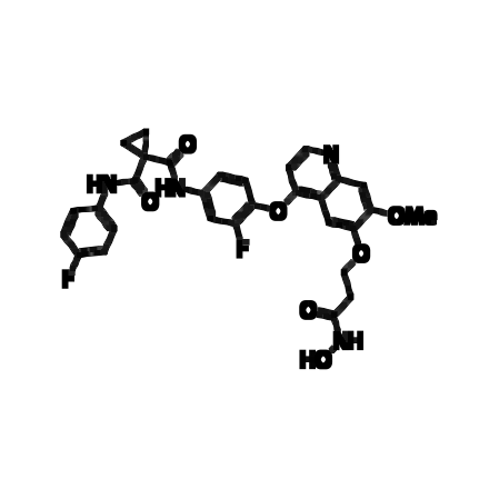 COc1cc2nccc(Oc3ccc(NC(=O)C4(C(=O)Nc5ccc(F)cc5)CC4)cc3F)c2cc1OCCC(=O)NO